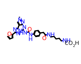 Cn1cc2c(nc(NC(=O)Nc3ccc(CC(=O)NCCCCCNC(=O)O)cc3)n3nc(-c4ccco4)nc23)n1